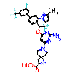 Cc1ccn(-c2cc(-c3cc(F)cc(C(F)(F)F)c3)ccc2[C@@H](Oc2cc(N3CCC4(CC3)CNC(C(=O)O)C4)nc(N)n2)C(F)(F)F)n1